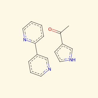 CC(=O)c1cc[nH]c1.c1ccc(-c2cccnc2)nc1